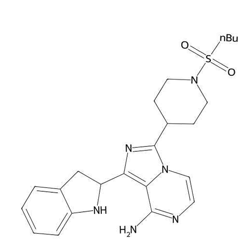 CCCCS(=O)(=O)N1CCC(c2nc(C3Cc4ccccc4N3)c3c(N)nccn23)CC1